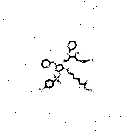 CC#CCC(C)[C@@H](C=C[C@@H]1[C@@H](CC=CCCCC(=O)OC)[C@H](OS(=O)(=O)c2ccc(C)cc2)C[C@H]1OC1CCCCO1)OC1CCCCO1